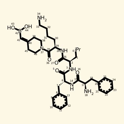 CC(C)C[C@@H](NC(=O)[C@@H](Cc1ccccc1)NC(=O)[C@H](N)Cc1ccccc1)C(=O)N[C@H](CCCCN)C(=O)N1CCC(=CB(O)O)CC1